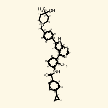 Cc1c(NC(=O)c2ccc(C3CC3)cc2)cccc1-c1ncnc2[nH]c(-c3ccc(CN4CCC(C)(O)CC4)cc3)cc12